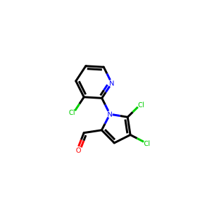 O=Cc1cc(Cl)c(Cl)n1-c1ncccc1Cl